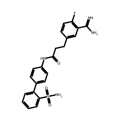 N=C(N)c1cc(CCC(=O)Nc2ccc(-c3ccccc3S(N)(=O)=O)cc2)ccc1F